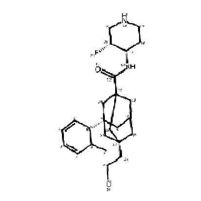 CC1C=CC=CC1[C@]12CC3CC(C(=O)N[C@@H]4CCNC[C@H]4F)(C[C@](CCCl)(C3)C1)C2